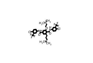 CN(C)CCCc1cc(C(=O)Nc2ccc(Cl)c(C(F)(F)F)c2)cc(OCCN(C)C)c1C(=O)Nc1ccc(Cl)c(C(F)(F)F)c1